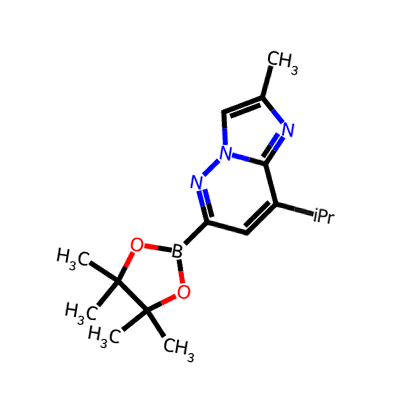 Cc1cn2nc(B3OC(C)(C)C(C)(C)O3)cc(C(C)C)c2n1